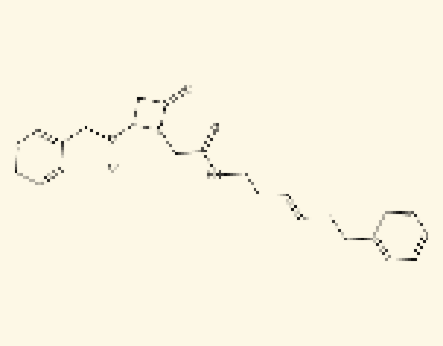 O=C(CN1C(=O)CC1[S+]([O-])Cc1ccccc1)NCCC=CCCc1ccccc1